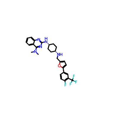 CN(C)c1nc(N[C@H]2CC[C@@H](NCc3ccc(-c4ccc(F)c(C(F)(F)F)c4)o3)CC2)nc2ccccc12